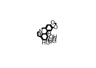 Cl.O.O[C@H]1[C@H]2c3cc4c(cc3CN3CCC(=C[C@@H]1O)[C@H]23)OCO4